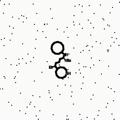 CCCC[C@H](CCC[C@H](CC)C1CCCCCNCCC1)NC1CCCCCCCCCC1